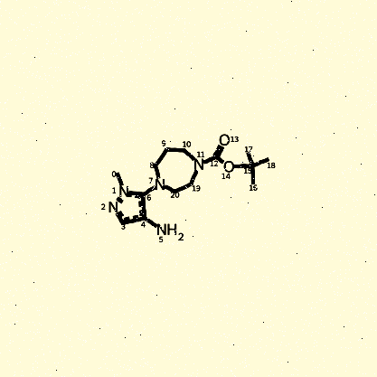 Cn1ncc(N)c1N1CCCN(C(=O)OC(C)(C)C)CC1